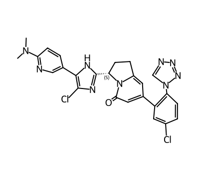 CN(C)c1ccc(-c2[nH]c([C@@H]3CCc4cc(-c5cc(Cl)ccc5-n5cnnn5)cc(=O)n43)nc2Cl)cn1